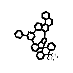 CC1(C)c2ccccc2C2(c3ccc(-c4ccc5c(ccc6ccccc65)c4)cc3-c3c(-c4cc(-c5ccccc5)nc(-c5ccccc5)c4)cccc32)c2ccccc21